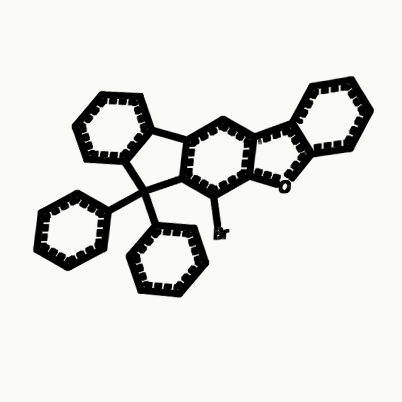 Brc1c2c(cc3c1oc1ccccc13)-c1ccccc1C2(c1ccccc1)c1ccccc1